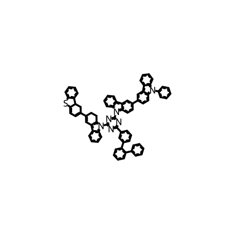 C1=C(C2=CC=C3Sc4ccccc4C3C2)CCc2c1c1ccccc1n2-c1nc(-c2cccc(-c3ccccc3-c3ccccc3)c2)nc(-n2c3ccccc3c3cc(-c4ccc5c(c4)c4ccccc4n5-c4ccccc4)ccc32)n1